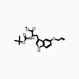 C=CCOc1ccc2[nH]cc(CC(NC(=O)OC(C)(C)C)C(=O)OC)c2c1